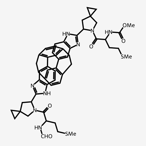 COC(=O)NC(CCSC)C(=O)N1CC2(CC2)CC1c1nc2cc(-c3cc4ccc3CCc3ccc(c(-c5ccc6[nH]c(C7CC8(CC8)CN7C(=O)C(CCSC)NC=O)nc6c5)c3)CC4)ccc2[nH]1